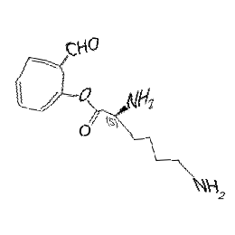 NCCCC[C@H](N)C(=O)Oc1ccccc1C=O